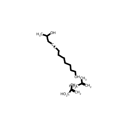 C=C(C)C(=O)O.C=C(C)C(=O)O.CC(O)CCCCCCCCCCO